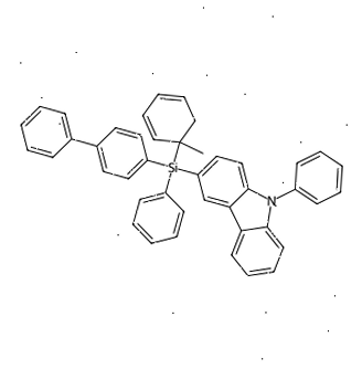 CC1([Si](c2ccccc2)(c2ccc(-c3ccccc3)cc2)c2ccc3c(c2)c2ccccc2n3-c2ccccc2)C=CC=CC1